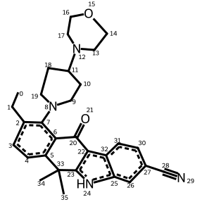 CCc1ccc2c(c1N1CCC(N3CCOCC3)CC1)C(=O)c1c([nH]c3cc(C#N)ccc13)C2(C)C